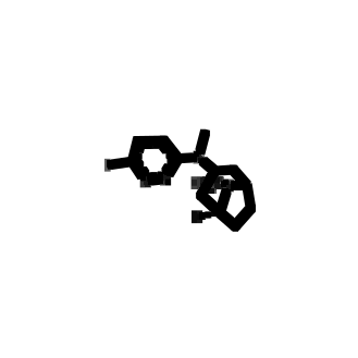 CN(c1ccc(I)nn1)C1CC2CC[C@@H](C1)N2C(=O)O